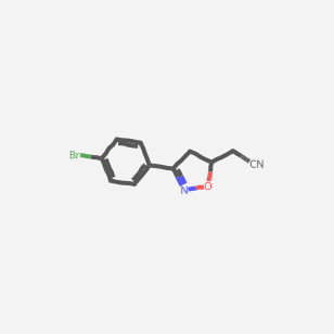 N#CCC1CC(c2ccc(Br)cc2)=NO1